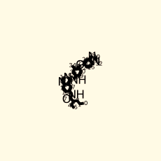 CCCC(CC)C(=O)Nc1ccc2ncnc(Nc3ccc(Oc4ccc5c(c4)ncn5C)c(C)c3)c2c1